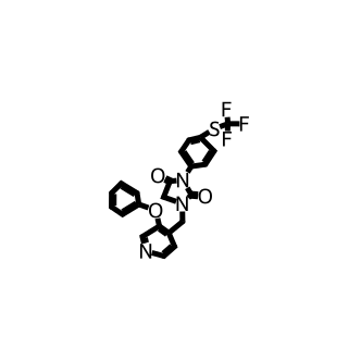 O=C1CN(Cc2ccncc2Oc2ccccc2)C(=O)N1c1ccc(SC(F)(F)F)cc1